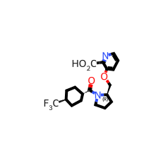 O=C(O)c1ncccc1OC[C@H]1CCCN1C(=O)[C@H]1CC[C@H](C(F)(F)F)CC1